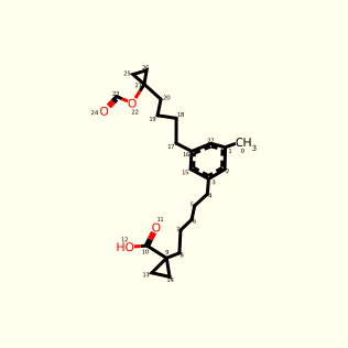 Cc1cc(CCCCCC2(C(=O)O)CC2)cc(CCCCC2(OC=O)CC2)c1